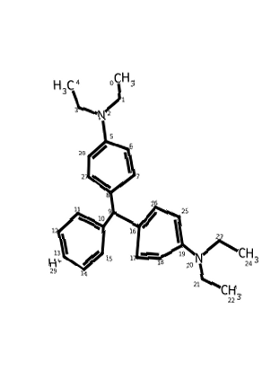 CCN(CC)c1ccc(C(c2ccccc2)c2ccc(N(CC)CC)cc2)cc1.[H+]